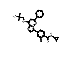 Cc1cc(-c2cnc3c(NCC(C)(C)O)cc(-c4ccccc4)nn23)ccc1C(=O)NC1CC1